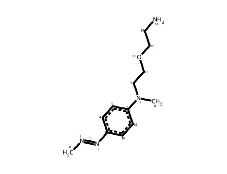 C/N=N/c1ccc(N(C)CCOCCN)cc1